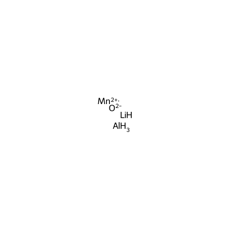 [AlH3].[LiH].[Mn+2].[O-2]